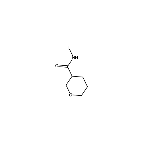 O=C(NI)C1CCCOC1